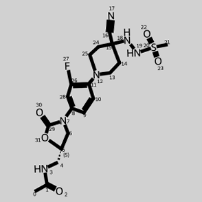 CC(=O)NC[C@H]1CN(c2ccc(N3CCC(C#N)(NNS(C)(=O)=O)CC3)c(F)c2)C(=O)O1